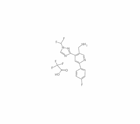 NCc1cnc(-c2ccc(F)cc2)cc1-c1ncn(C(F)F)n1.O=C(O)C(F)(F)F